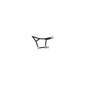 O=C1NSC2CC12